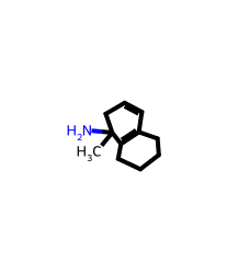 CC1(N)CC=CC2=C1CCCC2